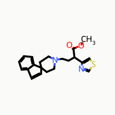 COC(=O)C(CCN1CCC2(C=Cc3ccccc32)CC1)c1cscn1